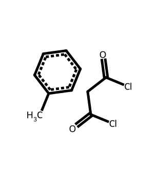 Cc1ccccc1.O=C(Cl)CC(=O)Cl